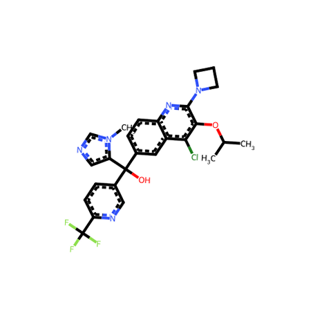 CC(C)Oc1c(N2CCC2)nc2ccc(C(O)(c3ccc(C(F)(F)F)nc3)c3cncn3C)cc2c1Cl